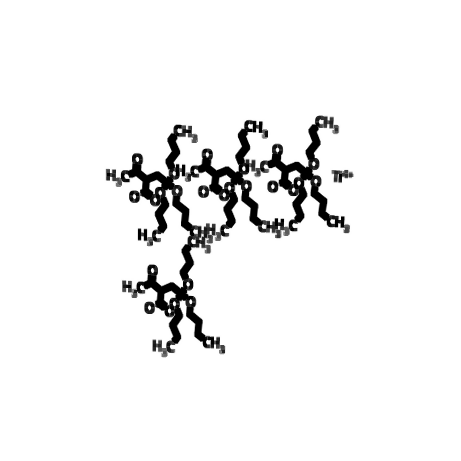 CCCCOC(CC(C(C)=O)C(=O)[O-])(OCCCC)OCCCC.CCCCOC(CC(C(C)=O)C(=O)[O-])(OCCCC)OCCCC.CCCCOC(CC(C(C)=O)C(=O)[O-])(OCCCC)OCCCC.CCCCOC(CC(C(C)=O)C(=O)[O-])(OCCCC)OCCCC.[Ti+4]